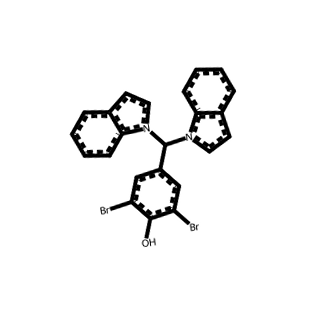 Oc1c(Br)cc(C(n2ccc3ccccc32)n2ccc3ccccc32)cc1Br